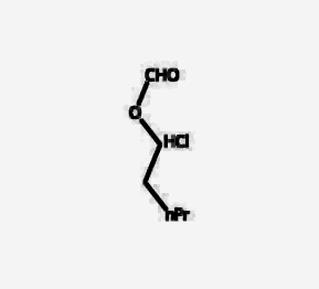 CCCCCOC=O.Cl